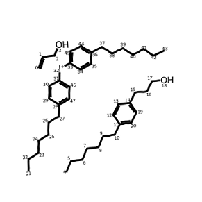 C=CCO.CCCCCCCc1ccc(CCCO)cc1.CCCCCCCc1ccc([I+]c2ccc(CCCCCCC)cc2)cc1